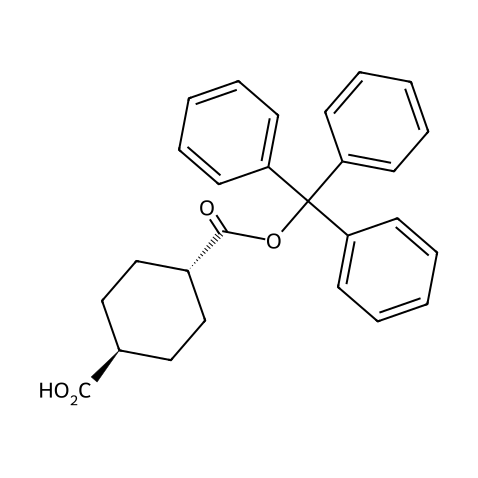 O=C(O)[C@H]1CC[C@H](C(=O)OC(c2ccccc2)(c2ccccc2)c2ccccc2)CC1